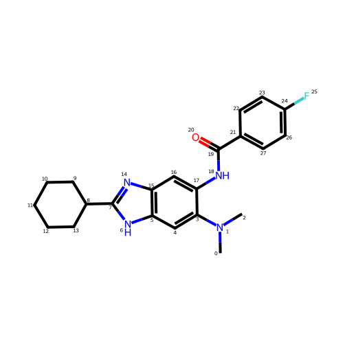 CN(C)c1cc2[nH]c(C3CCCCC3)nc2cc1NC(=O)c1ccc(F)cc1